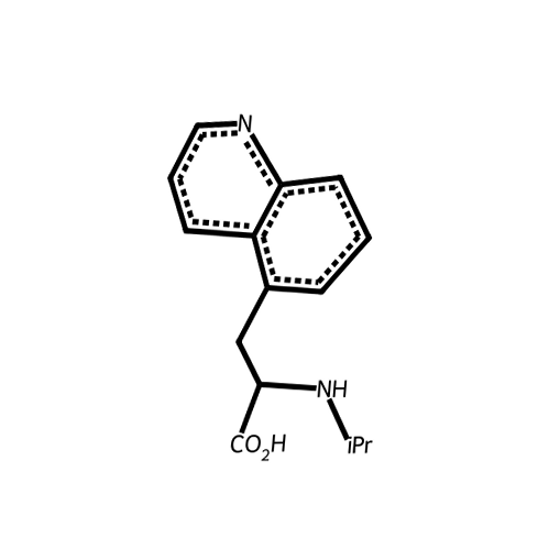 CC(C)NC(Cc1cccc2ncccc12)C(=O)O